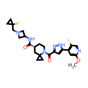 COc1cc(-c2cc(C(=O)N3CC[C@H](C(=O)NC4CN(CC5(F)CC5)C4)CC34CC4)n[nH]2)c(F)cn1